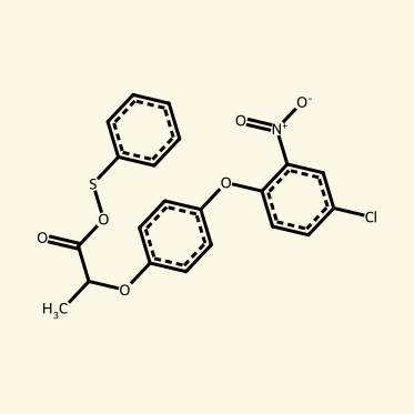 CC(Oc1ccc(Oc2ccc(Cl)cc2[N+](=O)[O-])cc1)C(=O)OSc1ccccc1